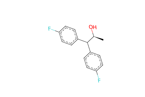 C[C@H](O)C(c1ccc(F)cc1)c1ccc(F)cc1